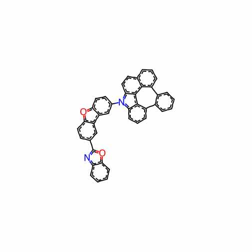 c1ccc2c(c1)-c1cccc3ccc4c(c13)c1c-2cccc1n4-c1ccc2oc3ccc(-c4nc5ccccc5o4)cc3c2c1